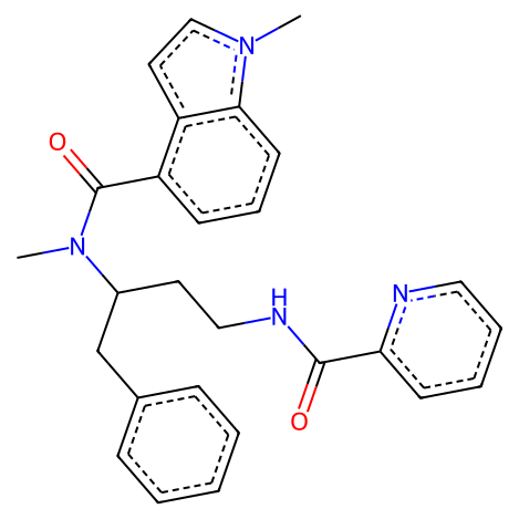 CN(C(=O)c1cccc2c1ccn2C)C(CCNC(=O)c1ccccn1)Cc1ccccc1